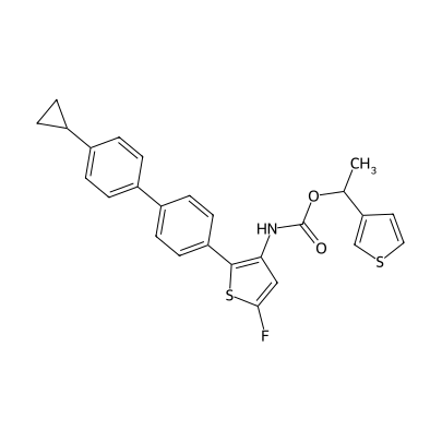 CC(OC(=O)Nc1cc(F)sc1-c1ccc(-c2ccc(C3CC3)cc2)cc1)c1ccsc1